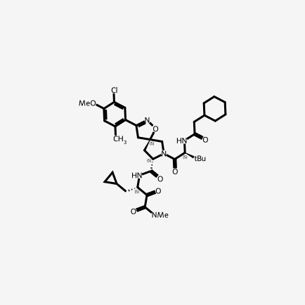 CNC(=O)C(=O)[C@H](CC1CC1)NC(=O)[C@@H]1C[C@]2(CC(c3cc(Cl)c(OC)cc3C)=NO2)CN1C(=O)[C@@H](NC(=O)CC1CCCCC1)C(C)(C)C